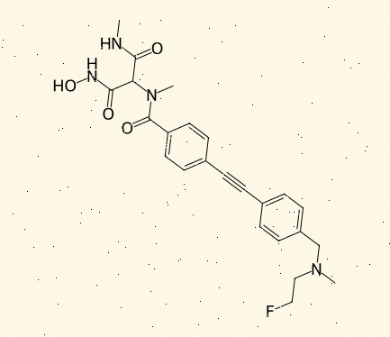 CNC(=O)C(C(=O)NO)N(C)C(=O)c1ccc(C#Cc2ccc(CN(C)CCF)cc2)cc1